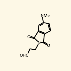 CNc1ccc2c(c1)C(=O)N(CCC=O)C2=O